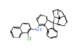 Clc1c(Nc2cccc3c2-c2ccccc2C32C3CC4CC5CC2C3(C4)C5)ccc2ccccc12